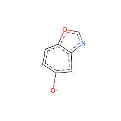 [O]c1ccc2ocnc2c1